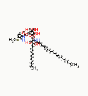 CCCCCCCCCCCCCCCCCCCCCCCCCCN[C@@H](CO[C@H]1O[C@H](COC(=O)Nc2cccc(SC)c2)[C@H](O)[C@H](O)[C@H]1O)[C@H](O)[C@H](O)CCCCCCCCCCCCCC